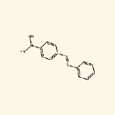 CCCN(CCC)c1ccc(/N=N/c2ccccc2)cc1